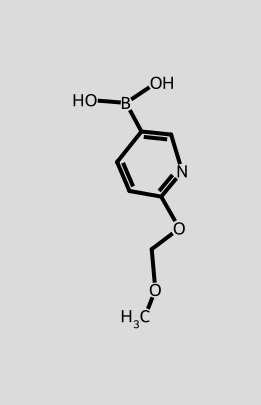 COCOc1ccc(B(O)O)cn1